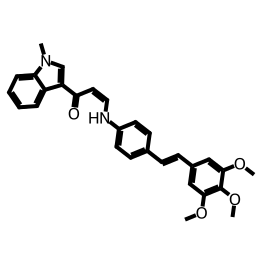 COc1cc(/C=C/c2ccc(N/C=C\C(=O)c3cn(C)c4ccccc34)cc2)cc(OC)c1OC